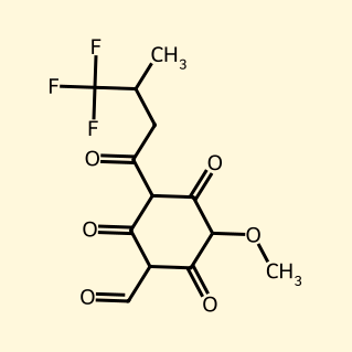 COC1C(=O)C(C=O)C(=O)C(C(=O)CC(C)C(F)(F)F)C1=O